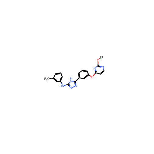 CCOc1nccc(Oc2cccc(-c3nnc(Nc4cccc(C(F)(F)F)c4)[nH]3)c2)n1